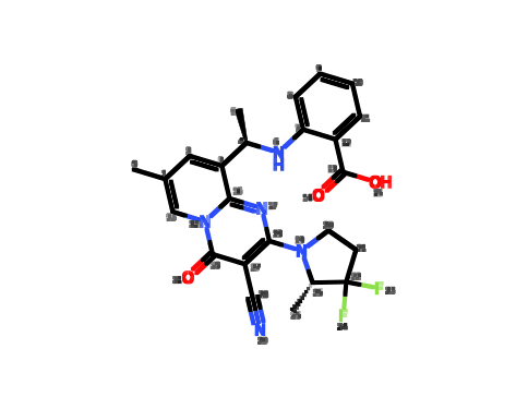 Cc1cc([C@@H](C)Nc2ccccc2C(=O)O)c2nc(N3CCC(F)(F)[C@@H]3C)c(C#N)c(=O)n2c1